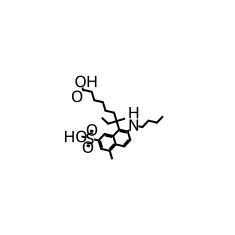 CCCCNc1ccc2c(C)cc(S(=O)(=O)O)cc2c1C(C)(CC)CCCCCC(=O)O